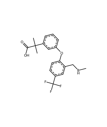 CBCc1cc(C(F)(F)F)ccc1Oc1cccc(C(C)(C)C(=O)O)c1